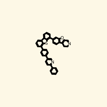 C1=NCCc2c1oc1cc(-c3cccc4c3sc3c(-c5ccc(-c6ccc(-c7ccccc7)nc6)cc5)cccc34)ccc21